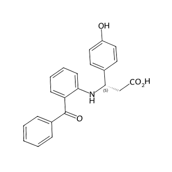 O=C(O)C[C@H](Nc1ccccc1C(=O)c1ccccc1)c1ccc(O)cc1